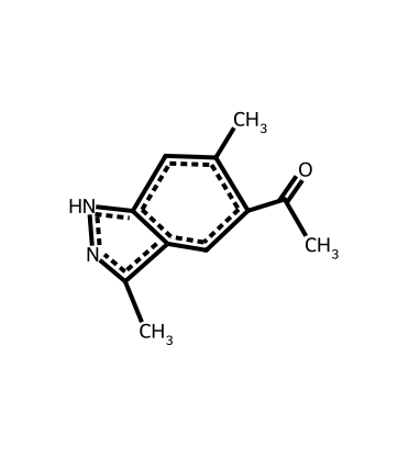 CC(=O)c1cc2c(C)n[nH]c2cc1C